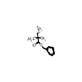 COCC(C)(C)C(=O)OCc1ccccc1